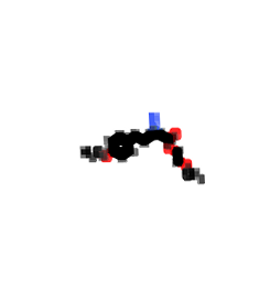 COCCOC(=O)C1NC1CCc1ccc(OC)cc1